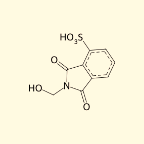 O=C1c2cccc(S(=O)(=O)O)c2C(=O)N1CO